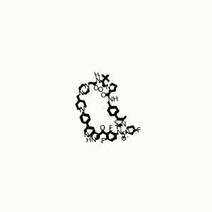 Cc1ncsc1-c1ccc(CNC(=O)C2CCCN2C(=O)C(NC(=O)CN2CCN(CC3CCN(c4ccc(-c5cnc6[nH]cc(C(=O)c7c(F)ccc(N[S+]([O-])N8CCC(F)C8)c7F)c6c5)cc4)CC3)CC2)C(C)(C)C)cc1